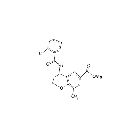 COC(=O)c1cc(C)c2c(c1)C(NC(=O)c1ccccc1Cl)CCO2